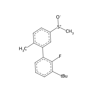 Cc1ccc([S+](C)[O-])cc1-c1cccc(C(C)(C)C)c1F